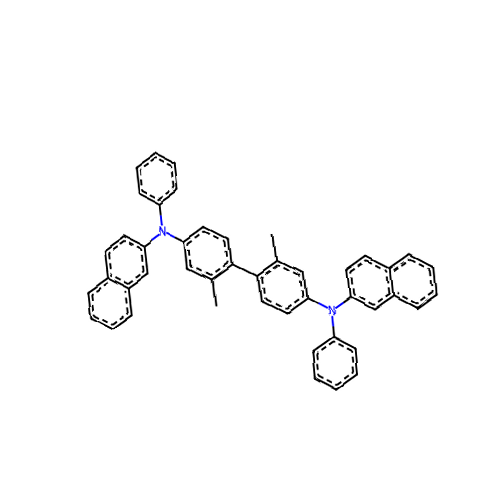 Cc1cc(N(c2ccccc2)c2ccc3ccccc3c2)ccc1-c1ccc(N(c2ccccc2)c2ccc3ccccc3c2)cc1C